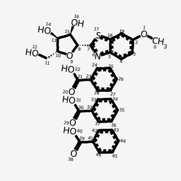 COc1ccc2nc([C@@H]3O[C@H](CO)[C@@H](O)[C@H]3O)sc2c1.O=C(O)c1ccccc1.O=C(O)c1ccccc1.O=C(O)c1ccccc1